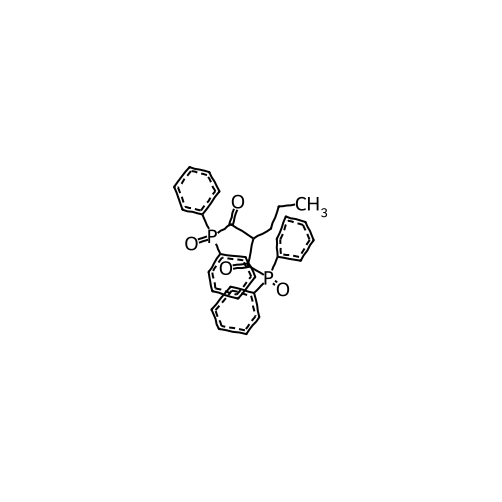 CCCC(C(=O)P(=O)(c1ccccc1)c1ccccc1)C(=O)P(=O)(c1ccccc1)c1ccccc1